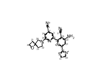 N#Cc1cc(-c2nc(-c3nccs3)cc(N)c2C#N)nc(N2CCC3(CCO3)C2)c1